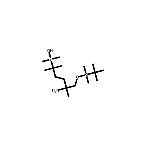 CC(N)(CCC(C)(C)[Si](C)(C)O)CO[Si](C)(C)C(C)(C)C